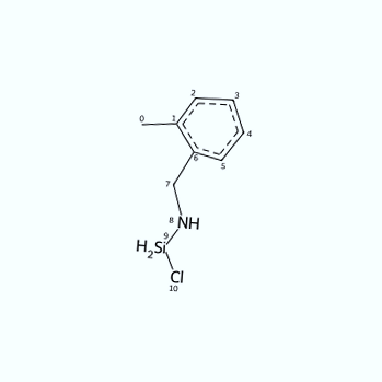 Cc1ccccc1CN[SiH2]Cl